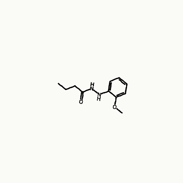 CCCC(=O)NNc1ccccc1OC